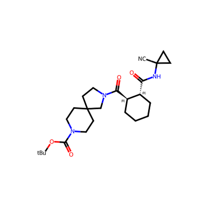 CC(C)(C)OC(=O)N1CCC2(CC1)CCN(C(=O)[C@@H]1CCCC[C@H]1C(=O)NC1(C#N)CC1)C2